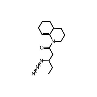 CCC(CC(=O)N1CCCC2CCCC=C21)N=[N+]=[N-]